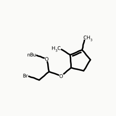 CCCCOC(CBr)OC1CCC(C)=C1C